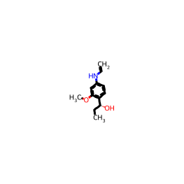 C=CNc1ccc([C@H](O)CC)c(OC)c1